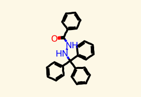 O=C(NNC(c1ccccc1)(c1ccccc1)c1ccccc1)c1ccccc1